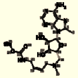 Cc1nc2c(N)ncnc2n1[C@@H]1O[C@H](CN(C)C/C=C\CNC(=O)OC(C)(C)C)[C@@H](O)[C@H]1O